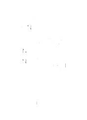 CCc1ccc(-c2nnc(OC3CC4CCC(C3)N4C)s2)cc1.O=C(O)/C=C/C(=O)O